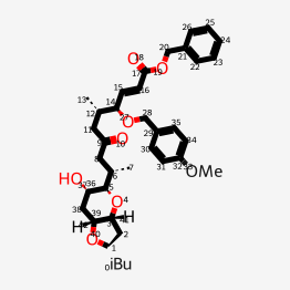 CC[C@H](C)[C@@H]1C[C@H]2O[C@@H]([C@@H](C)CC(=O)C[C@H](C)[C@@H](/C=C/C(=O)OCc3ccccc3)OCc3ccc(OC)cc3)[C@@H](O)C[C@H]2O1